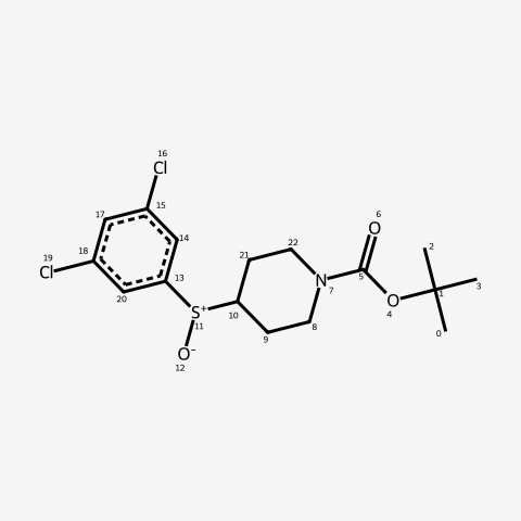 CC(C)(C)OC(=O)N1CCC([S+]([O-])c2cc(Cl)cc(Cl)c2)CC1